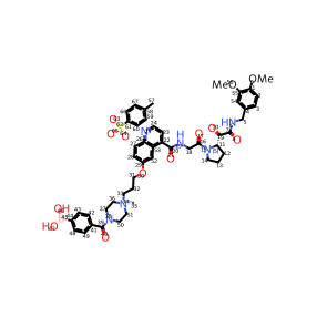 COc1ccc(CNC(=O)C(=O)[C@@H]2CCCN2C(=O)CNC(=O)c2ccnc3ccc(OCCC[N+]4(C)CCN(C(=O)c5ccc(B(O)O)cc5)CC4)cc23)cc1OC.Cc1ccc(S(=O)(=O)[O-])cc1